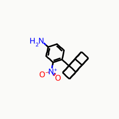 Nc1ccc(C23C4C5C6C4C2C6C53)c([N+](=O)[O-])c1